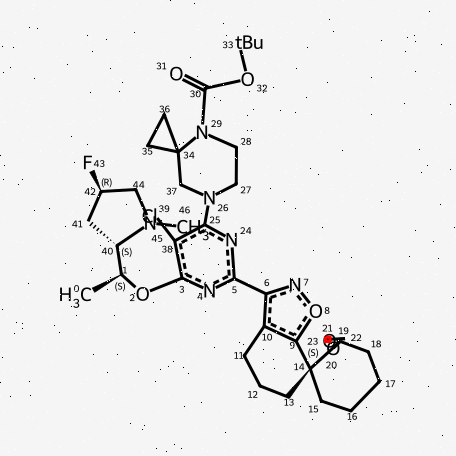 C[C@H](Oc1nc(-c2noc3c2CCC[C@@]32CCCCC23OCCO3)nc(N2CCN(C(=O)OC(C)(C)C)C3(CC3)C2)c1Cl)[C@@H]1C[C@@H](F)CN1C